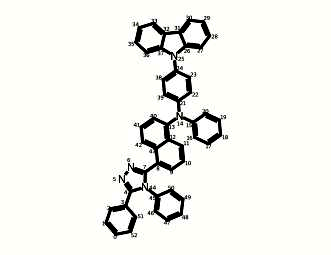 c1ccc(-c2nnc(-c3cccc4c(N(c5ccccc5)c5ccc(-n6c7ccccc7c7ccccc76)cc5)cccc34)n2-c2ccccc2)cc1